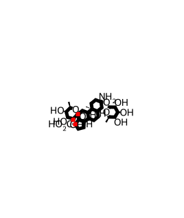 C[C@H]1O[C@H](O[C@@]2(N)CC[C@@]3(C)[C@H](CC[C@@H]4[C@@H]3CC[C@]3(C)[C@@H](C(=O)O)CC[C@]43O[C@H]3O[C@H](C)[C@@H](O)[C@H](O)[C@@H]3O)C2)[C@@H](O)[C@@H](O)[C@@H]1O